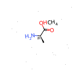 C.C[C@@H](N)C(=O)O